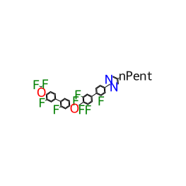 CCCCCc1cnc(-c2ccc(-c3cc(F)c(C(F)(F)Oc4ccc(-c5ccc(OC(F)F)c(F)c5)c(F)c4)c(F)c3)c(F)c2)nc1